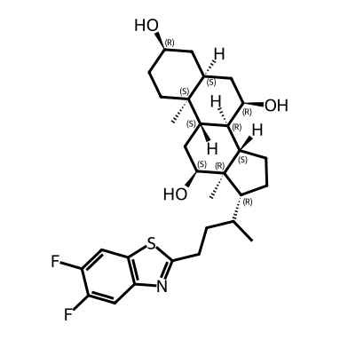 CC(CCc1nc2cc(F)c(F)cc2s1)[C@H]1CC[C@H]2[C@@H]3[C@H](O)C[C@@H]4C[C@H](O)CC[C@]4(C)[C@H]3C[C@H](O)[C@]12C